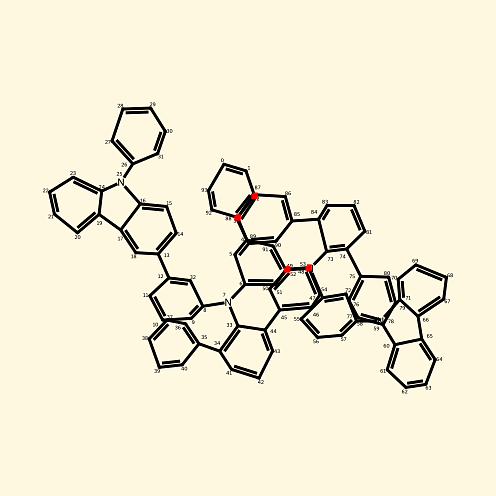 c1ccc(-c2cc(N(c3cccc(-c4ccc5c(c4)c4ccccc4n5-c4ccccc4)c3)c3c(-c4ccccc4)cccc3-c3ccccc3)cc(N(c3cccc(-n4c5ccccc5c5ccccc54)c3)c3c(-c4ccccc4)cccc3-c3ccccc3)c2)cc1